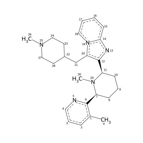 Cc1cccnc1[C@@H]1CCC[C@H](c2nc3ccccn3c2CC2CCN(C)CC2)N1C